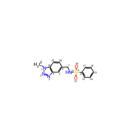 Cn1nnc2cc(CNS(=O)(=O)c3ccccc3)ccc21